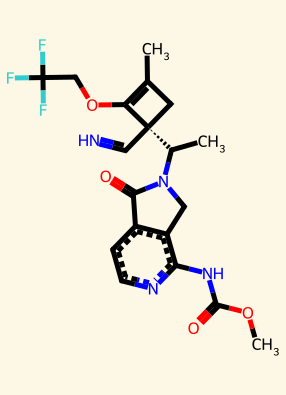 COC(=O)Nc1nccc2c1CN(C(C)[C@@]1(C=N)CC(C)=C1OCC(F)(F)F)C2=O